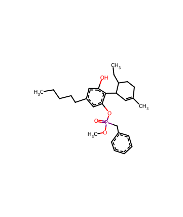 CCCCCc1cc(O)c(C2C=C(C)CCC2CC)c(OP(=O)(Cc2ccccc2)OC)c1